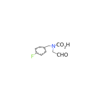 O=CCN(Cc1ccc(F)cc1)C(=O)O